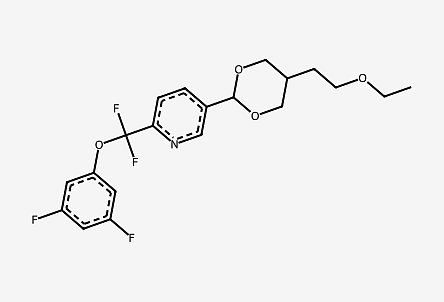 CCOCCC1COC(c2ccc(C(F)(F)Oc3cc(F)cc(F)c3)nc2)OC1